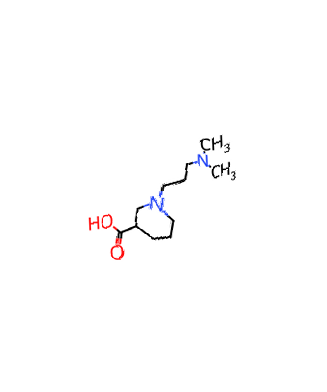 CN(C)CCCN1CCCC(C(=O)O)C1